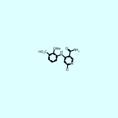 COc1c(Nc2cc(Cl)ncc2C(N)=O)cccc1C(=O)O